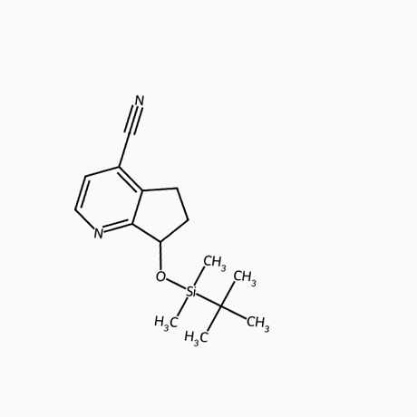 CC(C)(C)[Si](C)(C)OC1CCc2c(C#N)ccnc21